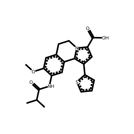 COc1cc2c(cc1NC(=O)C(C)C)-c1c(-c3cccs3)cc(C(=O)O)n1CC2